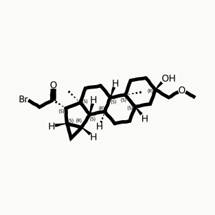 COC[C@@]1(O)CC[C@@]2(C)[C@@H](CC[C@H]3[C@@H]4[C@@H]5C[C@@H]5[C@H](C(=O)CBr)[C@@]4(C)CC[C@@H]32)C1